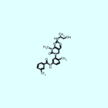 Cc1ccc(NC(=O)c2cccc(C(F)(F)F)c2)cc1N1Cc2cnc(N[C@H](C)CO)nc2N(C)C1=O